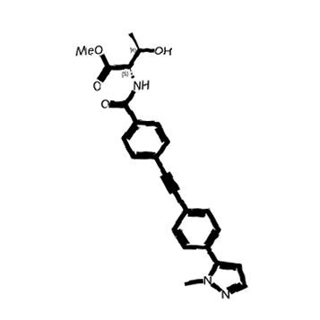 COC(=O)[C@@H](NC(=O)c1ccc(C#Cc2ccc(-c3ccnn3C)cc2)cc1)[C@@H](C)O